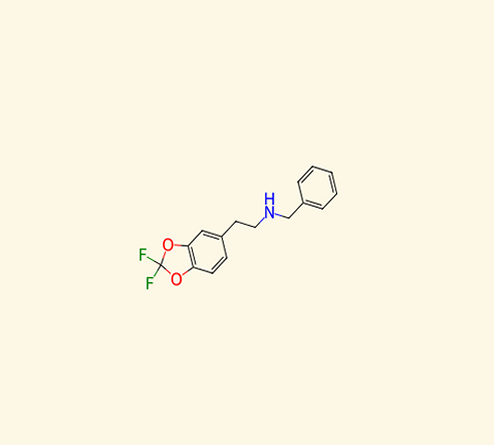 FC1(F)Oc2ccc(CCNCc3ccccc3)cc2O1